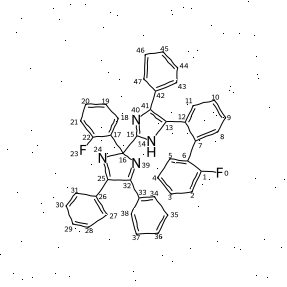 Fc1ccccc1-c1ccccc1-c1[nH]c(C2(c3ccccc3F)N=C(c3ccccc3)C(c3ccccc3)=N2)nc1-c1ccccc1